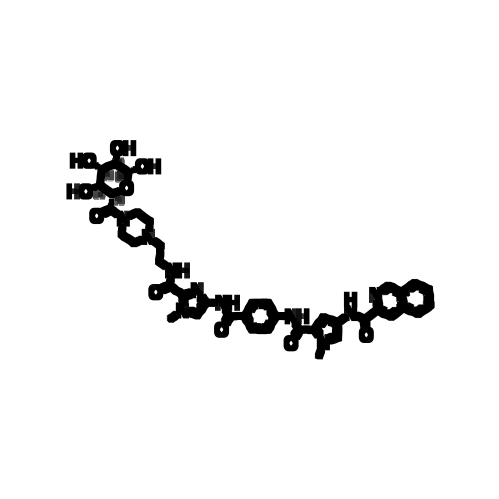 Cn1cc(NC(=O)c2cc3ccccc3cn2)cc1C(=O)Nc1ccc(C(=O)Nc2cn(C)c(C(=O)NCCN3CCN(C(=O)[C@H]4O[C@@H](O)[C@H](O)[C@@H](O)[C@@H]4O)CC3)n2)cc1